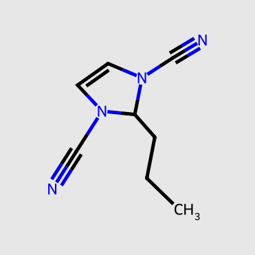 CCCC1N(C#N)C=CN1C#N